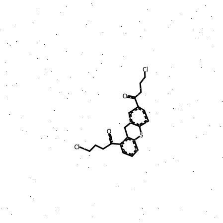 O=C(CCCCl)c1ccc2c(c1)Cc1c(cccc1C(=O)CCCCl)S2